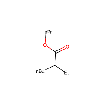 CCCCC(CC)C(=O)OCCC